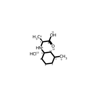 CC1CCCC(N[C@@H](C)C(=O)O)C1.Cl